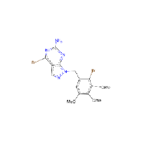 COc1cc(Cn2ncc3c(Br)nc(N)nc32)c(Br)c(OC)c1OC